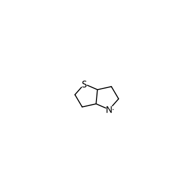 C1CC2SCCC2[N]1